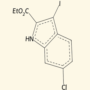 CCOC(=O)c1[nH]c2cc(Cl)ccc2c1I